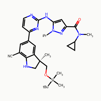 CC(C)n1nc(C(=O)N(C)C2CC2)cc1Nc1nccc(-c2cc(C#N)c3c(c2)[C@@](C)(CO[Si](C)(C)C(C)(C)C)CN3)n1